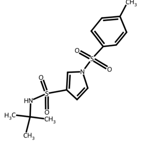 Cc1ccc(S(=O)(=O)n2ccc(S(=O)(=O)NC(C)(C)C)c2)cc1